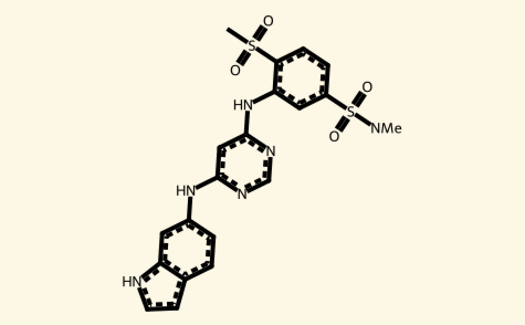 CNS(=O)(=O)c1ccc(S(C)(=O)=O)c(Nc2cc(Nc3ccc4cc[nH]c4c3)ncn2)c1